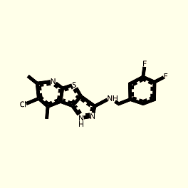 Cc1nc2sc3c(NCc4ccc(F)c(F)c4)n[nH]c3c2c(C)c1Cl